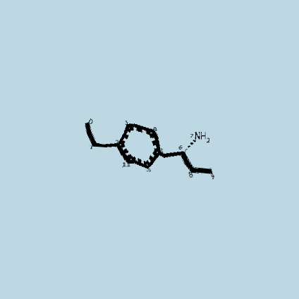 CCc1ccc([C@H](N)CC)cc1